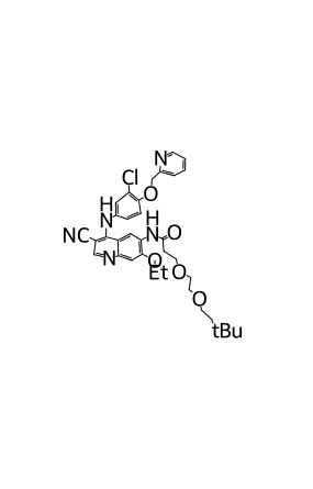 CCOc1cc2ncc(C#N)c(Nc3ccc(OCc4ccccn4)c(Cl)c3)c2cc1NC(=O)CCOCCOCCC(C)(C)C